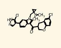 CN(C)C1(Cn2cc(C(=O)C3COc4ccc(Cl)cc4C3)c3ccc(-c4cn[nH]c4Cl)cc32)CC1